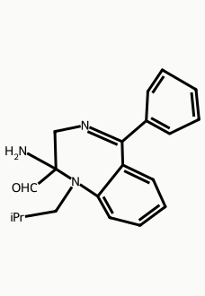 CC(C)CN1c2ccccc2C(c2ccccc2)=NCC1(N)C=O